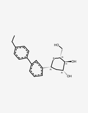 CCc1ccc(-c2cccc([C@H]3C[C@@H](O)[C@H](O)[C@@H](CO)S3)c2)cc1